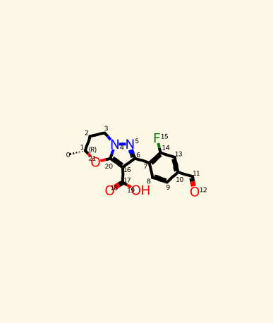 C[C@@H]1CCn2nc(-c3ccc(C=O)cc3F)c(C(=O)O)c2O1